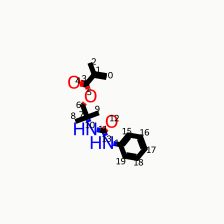 C=C(C)C(=O)OCC(C)(C)NC(=O)Nc1ccccc1